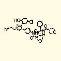 N#CCCn1cc(-c2ccc(NC(=O)[C@@H]3COCCN3C(=O)[C@H](NC(=O)N3CCOCC3)c3ccccc3)cc2)c(-c2cc(Cl)ccc2O)n1